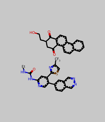 CCNC(=O)Nc1cc(-c2nc(C(F)(F)F)cs2)c(-c2ccc3cnncc3c2)cn1.O=C1CC(CCO)C(=O)c2ccc3c(ccc4ccccc43)c21